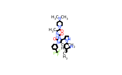 C=C(/C=C\C(C#N)=C/C)n1nccc1-c1c(C)n(-c2cccc(C(F)(F)F)c2)c(=O)n1C(=O)N[C@@H](C)C(=O)N1CCC(N(C)C)CC1